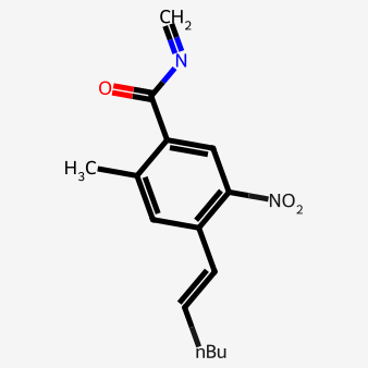 C=NC(=O)c1cc([N+](=O)[O-])c(C=CCCCC)cc1C